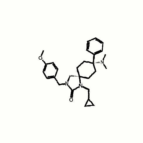 COc1ccc(CN2C[C@]3(CC[C@@](c4ccccc4)(N(C)C)CC3)N(CC3CC3)C2=O)cc1